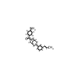 C/C=C/c1cccc(N2CC3CC(CN(C(=O)c4ccc(N)cc4)C3)C2)c1